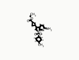 CCOC(=O)C1CC(c2cn(S(=O)(=O)c3ccc(C)cc3)c3nc(N)ccc23)C1